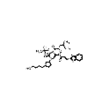 CC(C)C[C@@H]1ON(C(=O)/C=C/c2nc3ccccc3s2)C2=CN(C3CCN(CCCCO)C3)C(=O)[C@H](CC(C)(C)C)N2C1=O